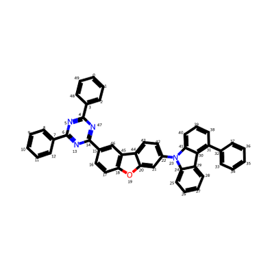 c1ccc(-c2nc(-c3ccccc3)nc(-c3ccc4oc5cc(-n6c7ccccc7c7c(-c8ccccc8)cccc76)ccc5c4c3)n2)cc1